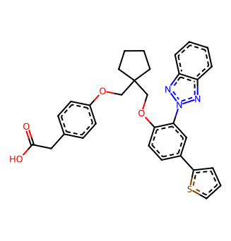 O=C(O)Cc1ccc(OCC2(COc3ccc(-c4cccs4)cc3-n3nc4ccccc4n3)CCCC2)cc1